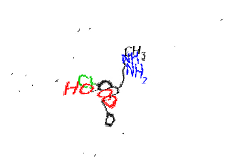 CCN/C=C(\N)CCC(CC(=O)OCc1ccccc1)c1ccc(Cl)c(CO)c1